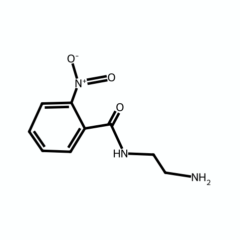 NCCNC(=O)c1ccccc1[N+](=O)[O-]